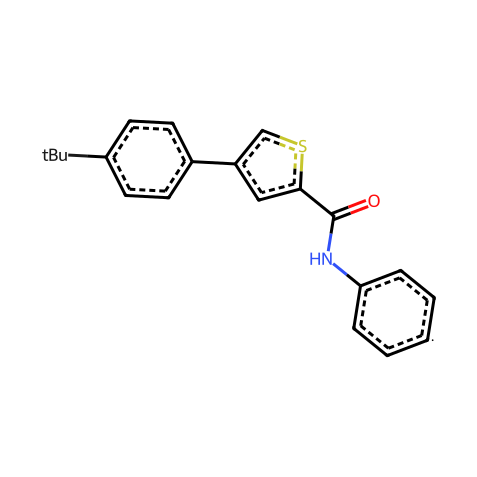 CC(C)(C)c1ccc(-c2csc(C(=O)Nc3cc[c]cc3)c2)cc1